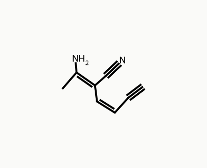 C#C/C=C\C(C#N)=C(/C)N